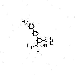 Cc1ccc(-c2ccc(-c3cc(C(C)C)c(O)c(C(C)C)c3)cc2)cc1